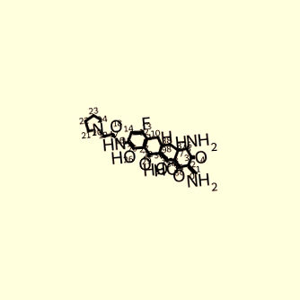 N/C=C1/C(=O)[C@@H](N)[C@@H]2C[C@@H]3Cc4c(F)cc(NC(=O)CN5CCCC5)c(O)c4C(=O)C3=C(O)[C@]2(O)C1=O